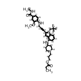 CCC(=O)OC[CH]CN1CCC(Nc2cccc3c2cc(C#CCNc2ccc(C(=O)NC)cc2OC)n3CC(F)(F)F)CC1